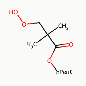 CCCCCOC(=O)C(C)(C)COO